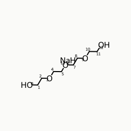 OCCOCCOCCOCCO.[NaH]